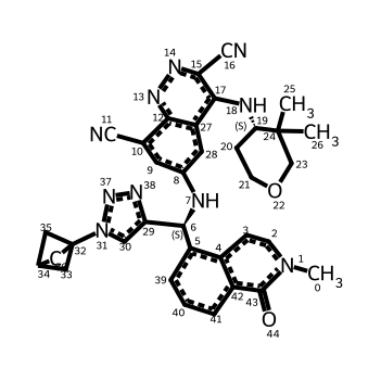 Cn1ccc2c([C@H](Nc3cc(C#N)c4nnc(C#N)c(N[C@H]5CCOCC5(C)C)c4c3)c3cn(C45CC(C4)C5)nn3)cccc2c1=O